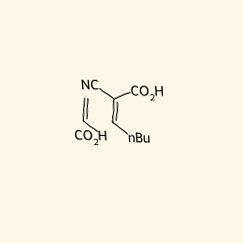 C=CC(=O)O.CCCCC=C(C#N)C(=O)O